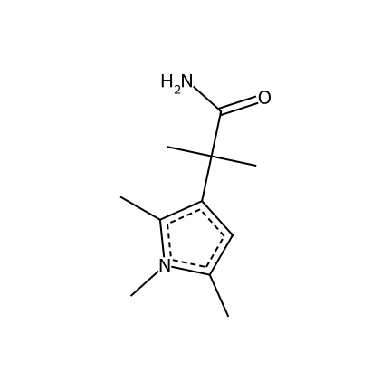 Cc1cc(C(C)(C)C(N)=O)c(C)n1C